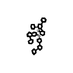 c1ccc(-c2cccc(-c3ccc(N(c4ccc5cccc(-c6ccccc6)c5c4)c4cccc5c4oc4c(-c6ccccc6)cc(-c6ccccc6)cc45)cc3)c2)cc1